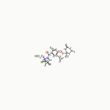 C=C1CC(C)CC(CC)(COc2cc(F)c(C(=O)N3C[C@@H]4C[C@@H]4[C@H]3C(=O)O)cc2C2CC2)C1